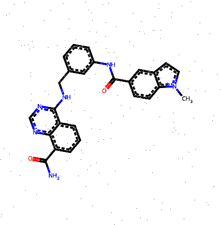 Cn1ccc2cc(C(=O)Nc3cccc(CNc4ncnc5c(C(N)=O)cccc45)c3)ccc21